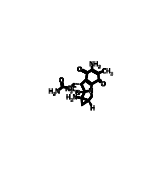 CO[C@@]12[C@H](COC(N)=O)C3=C(C(=O)C(C)=C(N)C3=O)N1C[C@@H]1CC12N